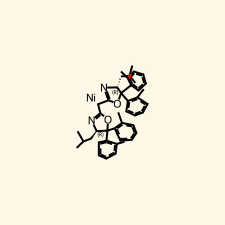 Cc1ccccc1C1(c2ccccc2C)OC(CC2=N[C@H](CC(C)C)C(c3ccccc3C)(c3ccccc3C)O2)=N[C@@H]1CC(C)C.[Ni]